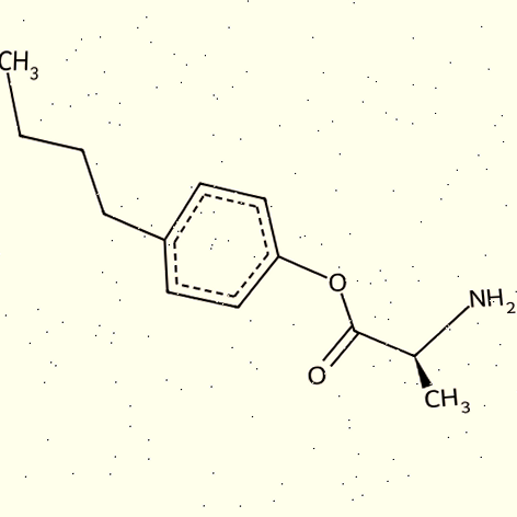 CCCCc1ccc(OC(=O)[C@H](C)N)cc1